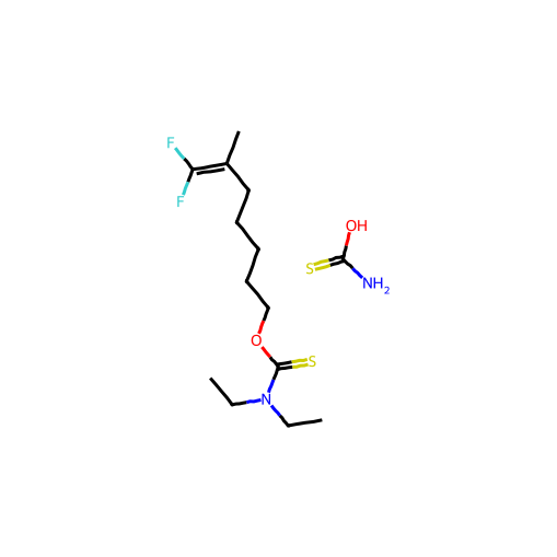 CCN(CC)C(=S)OCCCCCC(C)=C(F)F.NC(O)=S